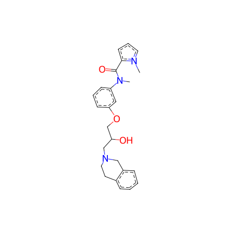 CN(C(=O)c1cccn1C)c1cccc(OCC(O)CN2CCc3ccccc3C2)c1